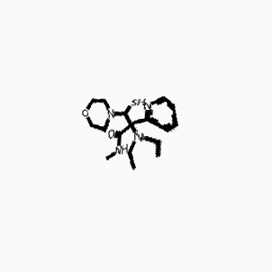 CCN(CC)C(C(=O)NC)(c1ccccn1)C(S)N1CCOCC1